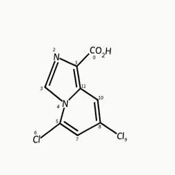 O=C(O)c1ncn2c(Cl)cc(Cl)cc12